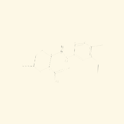 COc1cc(NC(=O)C2CCC(C)CC2C(=O)O)ccc1C